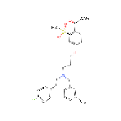 COC(=O)c1ccc(OCCCN(CCc2ccc(F)cc2)Cc2cccc(C(F)(F)F)c2)cc1S(C)(=O)=O